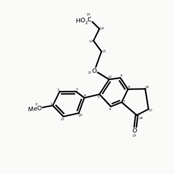 COc1ccc(-c2cc3c(cc2OCCCC(=O)O)CCC3=O)cc1